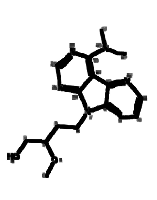 COC(CO)CCn1c2cccnc2c2c(N(C)C)ncnc21